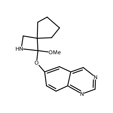 COC1(Oc2ccc3ncncc3c2)NCC12CCCC2